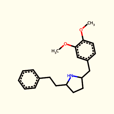 COc1ccc(CC2CCC(CCc3ccccc3)N2)cc1OC